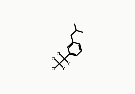 CC(C)[CH]c1cccc(C(Cl)(Cl)C(Cl)(Cl)Cl)c1